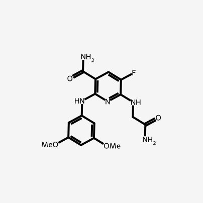 COc1cc(Nc2nc(NCC(N)=O)c(F)cc2C(N)=O)cc(OC)c1